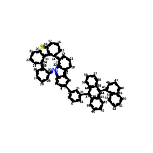 c1cc(-c2ccc3c(c2)c2cccc4c5cccc6sc7cccc(c8ccccc8n3c42)c7c65)cc(-c2c3ccccc3c(-c3cccc4ccccc34)c3ccccc23)c1